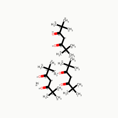 CC(C)(C)C(=O)CC(=O)C(C)(C)C.CC(C)(C)C(=O)CC(=O)C(C)(C)C.CC(C)(C)C(=O)CC(=O)C(C)(C)C.[In]